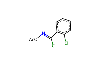 CC(=O)ON=C(Cl)c1ccccc1Cl